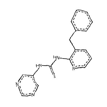 S=C(Nc1cncnc1)Nc1ncccc1Cc1ccccc1